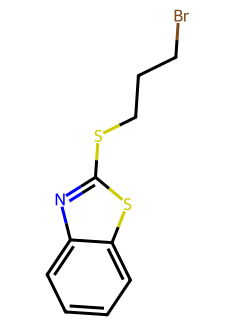 BrCCCSc1nc2ccccc2s1